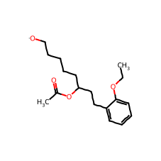 CCOc1ccccc1CCC(CCCCC[O])OC(C)=O